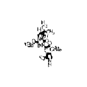 COC(=O)[C@H](C[C@@H]1CCNC1=O)NC(=O)[C@@H]1[C@@H]2[C@H](CN1C(=O)OC(C)(C)C)C2(C)C